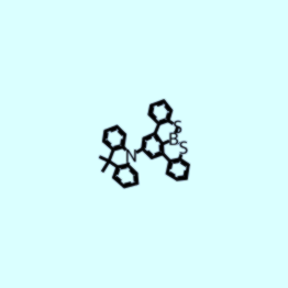 CC1(C)c2ccccc2N(c2cc3c4c(c2)-c2ccccc2SB4Sc2ccccc2-3)c2ccccc21